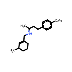 COc1ccc(CCC(C)NCC2=CC(C)CCC2)cc1